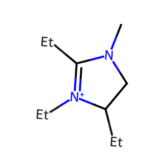 CCC1=[N+](CC)C(CC)CN1C